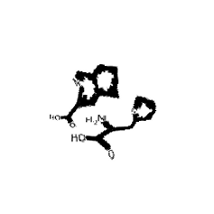 NC(Cc1cccs1)C(=O)O.O=C(O)c1cc2ccccc2cn1